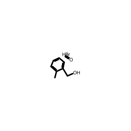 Br.C=O.Cc1ccccc1CO